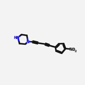 O=[N+]([O-])c1ccc(C#CC#CN2CCNCC2)cc1